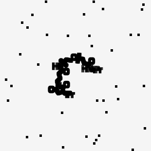 CC(C)NC(=O)CCC(C)(C)OCCC(C)(C)NC(=O)CCCN1C(=O)CC(C(C)C)C1=O